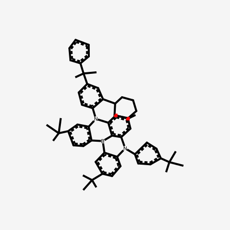 Cc1cc2c3c(c1)N(c1ccc(C(C)(C)c4ccccc4)cc1C1CCCCC1)c1cc(C(C)(C)C)ccc1B3c1cc(C(C)(C)C)ccc1N2c1ccc(C(C)(C)C)cc1